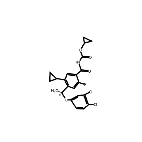 C[C@@H](Oc1ccc(Cl)c(Cl)c1)c1cc(F)c(C(=O)NC(=O)OC2CC2)cc1C1CC1